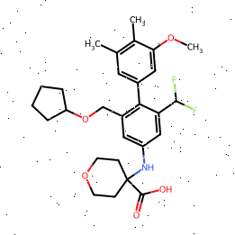 COc1cc(-c2c(COC3CCCC3)cc(NC3(C(=O)O)CCOCC3)cc2C(F)F)cc(C)c1C